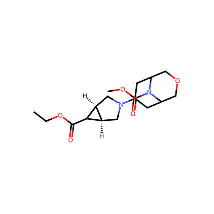 CCOC(=O)C1[C@H]2CN(C3CC4COCC(C3)N4C(=O)OC)C[C@@H]12